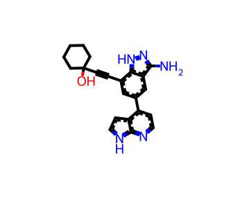 Nc1n[nH]c2c(C#CC3(O)CCCCC3)cc(-c3ccnc4[nH]ccc34)cc12